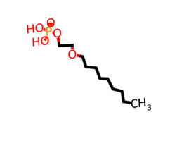 CCCCCCCCCOCCOP(=O)(O)O